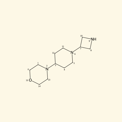 C1CN(C2CCN(C3CNC3)CC2)CCO1